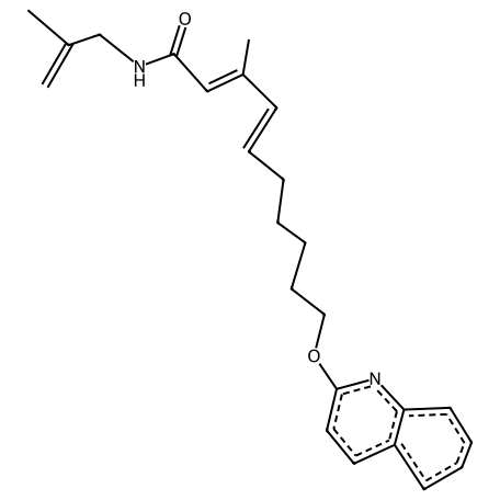 C=C(C)CNC(=O)C=C(C)C=CCCCCCOc1ccc2ccccc2n1